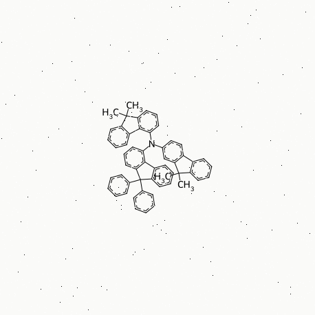 CC1(C)c2ccccc2-c2ccc(N(c3cccc4c3-c3ccccc3C4(C)C)c3cccc4c3-c3ccccc3C4(c3ccccc3)c3ccccc3)cc21